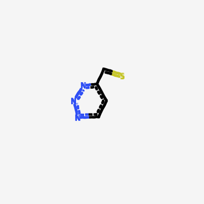 S=Cc1ccnnn1